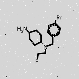 CC(C)c1ccc(CN(CCF)[C@H]2CC[C@H](N)CC2)cc1